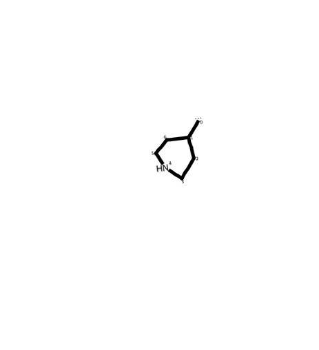 [C]C1CCNCC1